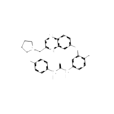 O=C(Nc1ccc(F)cc1)Nc1ccc(F)c(Oc2ccc3ncc(CN4CCCC4)nc3c2)c1